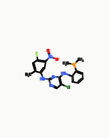 Cc1cc(F)c([N+](=O)[O-])cc1Nc1ncc(Cl)c(Nc2ccccc2P(C)C)n1